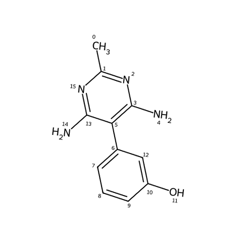 Cc1nc(N)c(-c2cccc(O)c2)c(N)n1